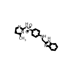 Cc1ccnc(NS(=O)(=O)c2ccc(NCc3nc4ccccc4[nH]3)cc2)n1